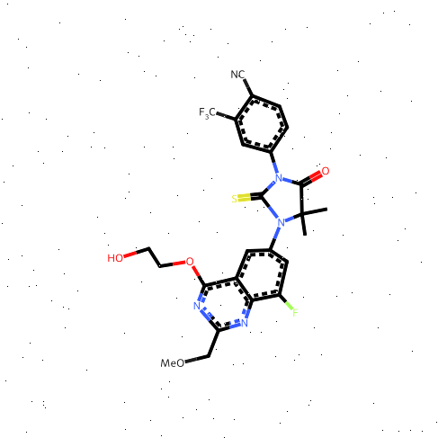 COCc1nc(OCCO)c2cc(N3C(=S)N(c4ccc(C#N)c(C(F)(F)F)c4)C(=O)C3(C)C)cc(F)c2n1